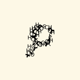 C=C1C[C@@H]2CC[C@@]34C[C@H]5O[C@H]6[C@@H](O3)[C@H]3O[C@H](CC[C@@H]3O[C@H]6C5O4)CC(=O)C[C@@H]3[C@@H](OC)[C@@H](C[C@H](O)CNC(=O)OC(C)(C)C)O[C@H]3C[C@H]3O[C@@H](CC[C@@H]1O2)C[C@@H](C)C3=C